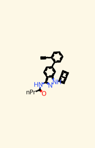 C#Cc1ccccc1-c1ccc2c(NC(=O)CCC)n[nH]c2c1.c1cc2ccc1-2